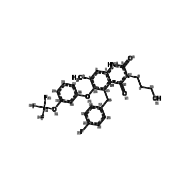 Cc1cc2[nH]c(=O)n(CCCO)c(=O)c2c(Cc2ccc(F)cc2)c1Oc1cccc(OC(F)(F)F)c1